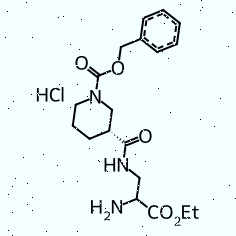 CCOC(=O)C(N)CNC(=O)[C@@H]1CCCN(C(=O)OCc2ccccc2)C1.Cl